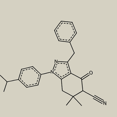 CC(C)c1ccc(-n2nc(Cc3ccccc3)c3c2CC(C)(C)C(C#N)C3=O)cc1